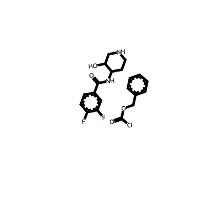 O=C(Cl)OCc1ccccc1.O=C(NC1CCNCC1O)c1ccc(F)c(F)c1